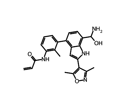 C=CC(=O)Nc1cccc(-c2ccc(C(N)O)c3[nH]c(-c4c(C)noc4C)cc23)c1C